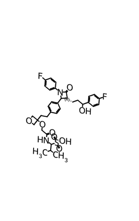 CC(C)C(NC(=O)COC1(CCc2ccc(C3[C@@H](CCC(O)c4ccc(F)cc4)C(=O)N3c3ccc(F)cc3)cc2)COC1)S(=O)(=O)O